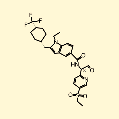 CCn1c(C[C@H]2CC[C@@H](C(F)(F)F)CC2)cc2cc(C(=O)N[C@@H](C=O)c3ccc(S(=O)(=O)CC)cn3)ccc21